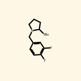 CC(C)(C)C1CCCN1Cc1ccc(F)c(F)c1